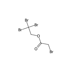 O=C(CBr)OCC(Br)(Br)Br